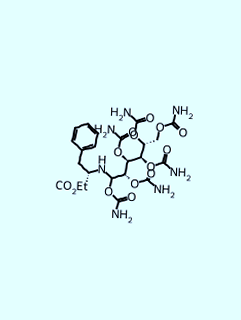 CCOC(=O)[C@H](Cc1ccccc1)NC(OC(N)=O)[C@@H](OC(N)=O)[C@@H](OC(N)=O)[C@H](OC(N)=O)[C@@H](COC(N)=O)OC(N)=O